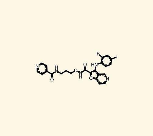 O=C(NCCCONC(=O)c1oc2ccncc2c1Nc1ccc(I)cc1F)c1ccncc1